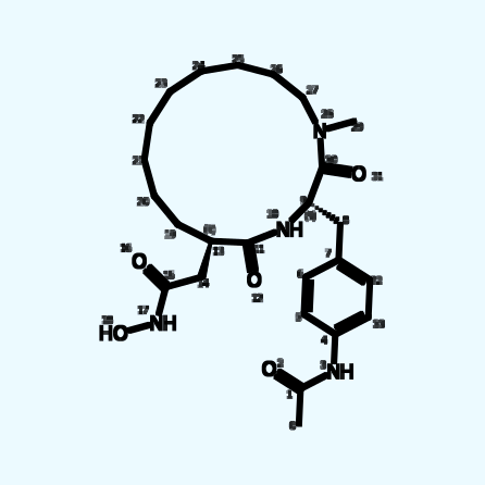 CC(=O)Nc1ccc(C[C@@H]2NC(=O)[C@@H](CC(=O)NO)CCCCCCCCCN(C)C2=O)cc1